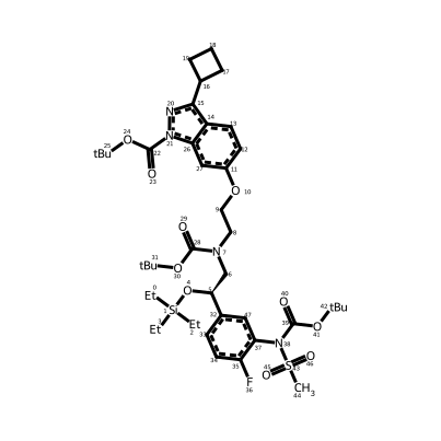 CC[Si](CC)(CC)O[C@@H](CN(CCOc1ccc2c(C3CCC3)nn(C(=O)OC(C)(C)C)c2c1)C(=O)OC(C)(C)C)c1ccc(F)c(N(C(=O)OC(C)(C)C)S(C)(=O)=O)c1